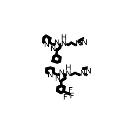 FC(F)(F)c1cccc(-c2cc(NCCCn3ccnc3)nc(-c3ccccn3)n2)c1.c1ccc(-c2cc(NCCCn3ccnc3)nc(-c3ccccn3)n2)cc1